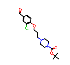 CC(C)(C)OC(=O)N1CCN(CCCOc2ccc(C=O)cc2Cl)CC1